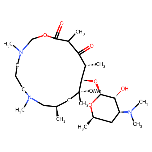 CO[C@]1(C)C[C@@H](C)CN(C)CCCN(C)COC(=O)C(C)C(=O)[C@H](C)[C@H]1O[C@@H]1O[C@H](C)C[C@H](N(C)C)[C@H]1O